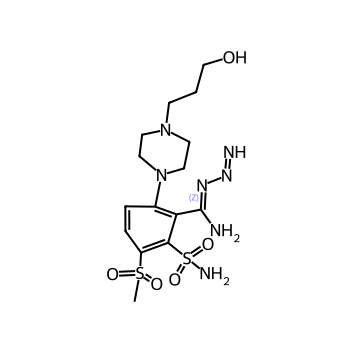 CS(=O)(=O)c1ccc(N2CCN(CCCO)CC2)c(/C(N)=N/N=N)c1S(N)(=O)=O